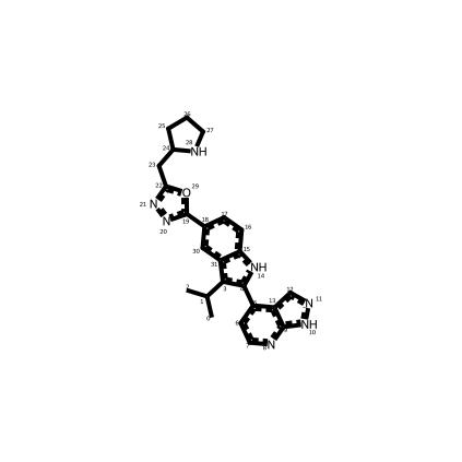 CC(C)c1c(-c2ccnc3[nH]ncc23)[nH]c2ccc(-c3nnc(CC4CCCN4)o3)cc12